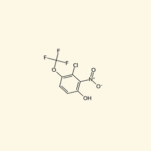 O=[N+]([O-])c1c(O)ccc(OC(F)(F)F)c1Cl